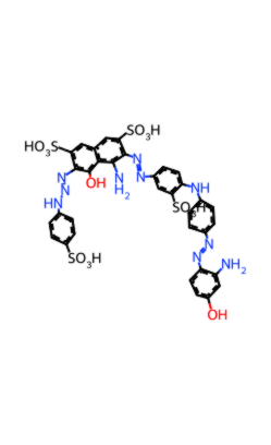 Nc1cc(O)ccc1N=Nc1ccc(Nc2ccc(N=Nc3c(S(=O)(=O)O)cc4cc(S(=O)(=O)O)c(N=NNc5ccc(S(=O)(=O)O)cc5)c(O)c4c3N)cc2S(=O)(=O)O)cc1